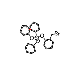 BrCc1ccccc1O[Si](Oc1ccccc1)(Oc1ccccc1)c1ccccc1